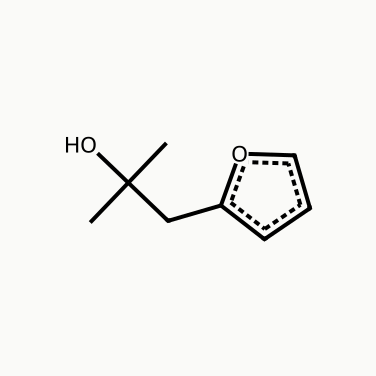 CC(C)(O)Cc1ccco1